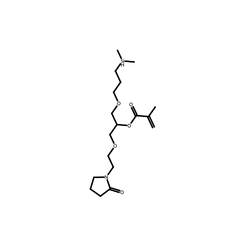 C=C(C)C(=O)OC(COCCC[SiH](C)C)COCCN1CCCC1=O